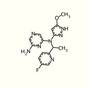 COc1cc(N(c2cncc(N)n2)C(C)c2ccc(F)cn2)n[nH]1